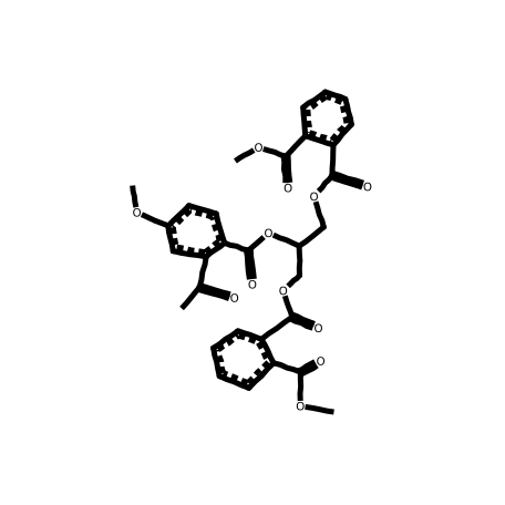 COC(=O)c1ccccc1C(=O)OCC(COC(=O)c1ccccc1C(=O)OC)OC(=O)c1ccc(OC)cc1C(C)=O